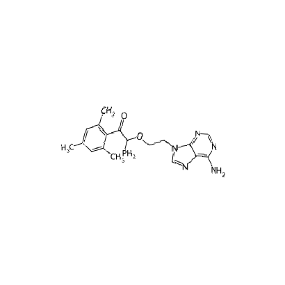 Cc1cc(C)c(C(=O)C(P)OCCn2cnc3c(N)ncnc32)c(C)c1